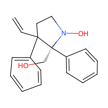 C=CC1(c2ccccc2)CCN(O)[C@@]1(CO)c1ccccc1